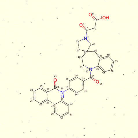 O=C(O)CC(=O)N1CCC2(CCN(C(=O)c3ccc(NC(=O)c4ccccc4-c4ccccc4)cc3)c3ccccc3C2)C1